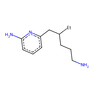 CCC(CCCN)Cc1cccc(N)n1